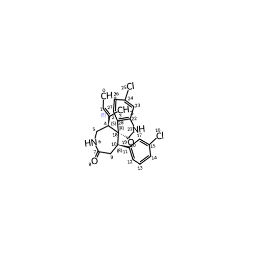 C/C=C(\C)[C@@H]1CNC(=O)C[C@H](c2cccc(Cl)c2)[C@@]12C(=O)Nc1cc(Cl)ccc12